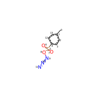 Cc1ccc(S(=O)(=O)ON=[N+]=[N-])cc1